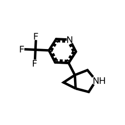 FC(F)(F)c1cncc(C23CNCC2C3)c1